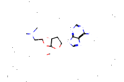 CN(C)CCO[C@]1(CO)O[C@@H](n2cnc3c(N)ncnc32)[C@@H](F)[C@@H]1O